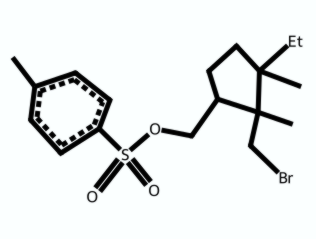 CCC1(C)CCC(COS(=O)(=O)c2ccc(C)cc2)C1(C)CBr